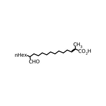 CCCCCCC(C=O)CCCCCCCCCC=C(C)C(=O)O